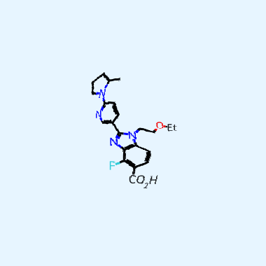 CCOCCn1c(-c2ccc(N3CCCC3C)nc2)nc2c(F)c(C(=O)O)ccc21